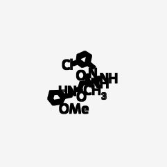 COc1ccccc1CNC(=O)CC1(C)NC(=N)N(Cc2cccc(Cl)c2)C1=O